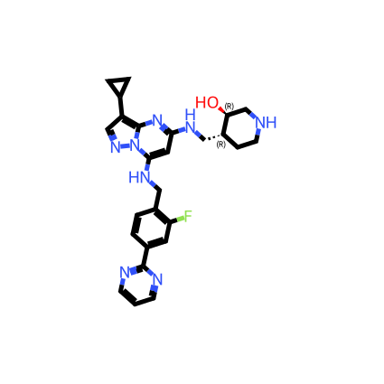 O[C@H]1CNCC[C@@H]1CNc1cc(NCc2ccc(-c3ncccn3)cc2F)n2ncc(C3CC3)c2n1